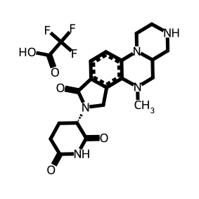 CN1CC2CNCCN2c2ccc3c(c21)CN([C@H]1CCC(=O)NC1=O)C3=O.O=C(O)C(F)(F)F